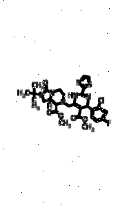 COC(=O)C1=C(CN2CCN3C(=O)N(C(C)(C)C)C[C@H]3[C@@H]2C(=O)OC)NC(c2nccs2)=N[C@H]1c1ccc(F)cc1Cl